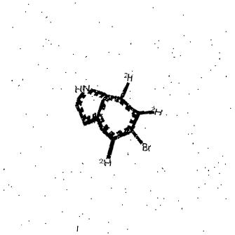 [2H]c1c(Br)c([2H])c2cc[nH]c2c1[2H]